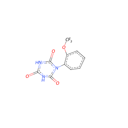 O=c1[nH]c(=O)n(-c2ccccc2OC(F)(F)F)c(=O)[nH]1